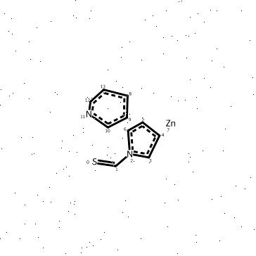 S=Cn1cccc1.[Zn].c1ccncc1